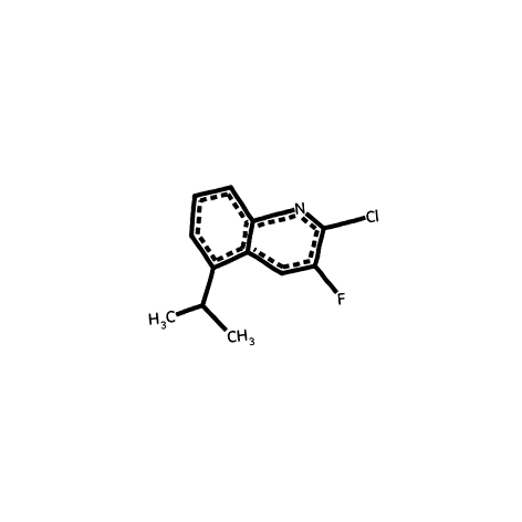 CC(C)c1cccc2nc(Cl)c(F)cc12